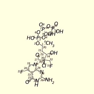 C[C@@H](OP(=O)(O)OP(=O)(O)OP(=O)(O)O)[C@H]1O[C@@H](n2cc(F)c3c(=O)[nH]c(N)nc32)[C@@](Cl)(CF)C1O